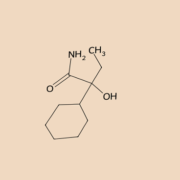 CCC(O)(C(N)=O)C1CCCCC1